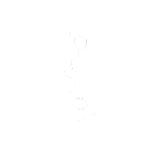 CC1CC(COc2ccc(S(C)(=O)=O)cc2)CN1CCc1cccc(Cl)c1